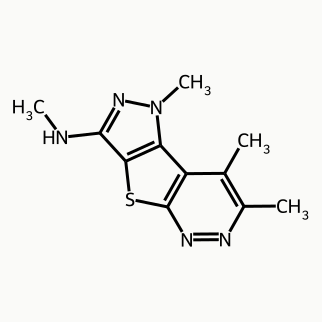 CNc1nn(C)c2c1sc1nnc(C)c(C)c12